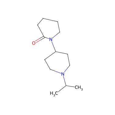 CC(C)N1CCC(N2CCCCC2=O)CC1